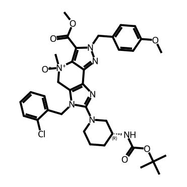 COC(=O)c1c2c(nn1Cc1ccc(OC)cc1)-c1nc(N3CCC[C@@H](NC(=O)OC(C)(C)C)C3)n(Cc3ccccc3Cl)c1C[N+]2(C)[O-]